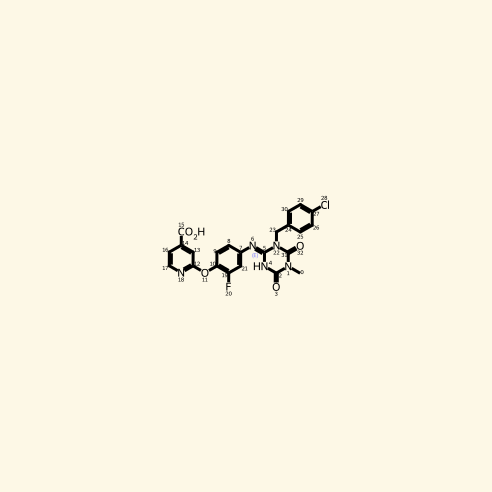 Cn1c(=O)[nH]/c(=N\c2ccc(Oc3cc(C(=O)O)ccn3)c(F)c2)n(Cc2ccc(Cl)cc2)c1=O